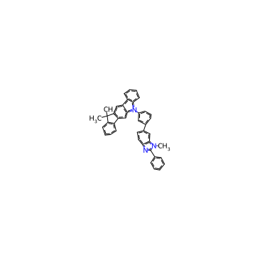 Cn1c(-c2ccccc2)nc2ccc(-c3cccc(-n4c5ccccc5c5cc6c(cc54)-c4ccccc4C6(C)C)c3)cc21